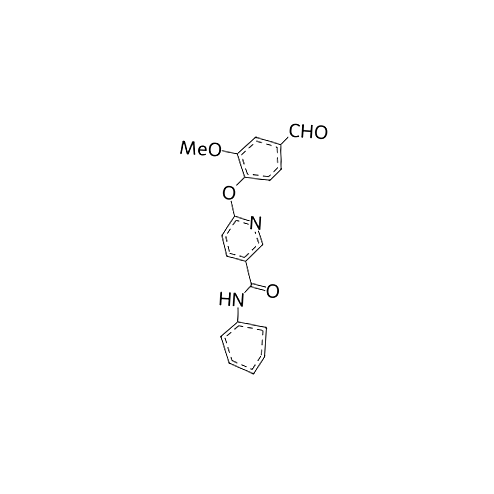 COc1cc(C=O)ccc1Oc1ccc(C(=O)Nc2ccccc2)cn1